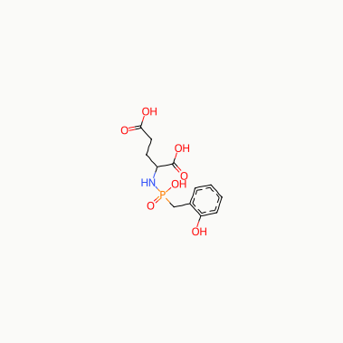 O=C(O)CCC(NP(=O)(O)Cc1ccccc1O)C(=O)O